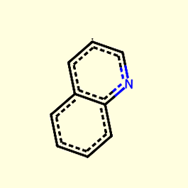 [c]1cnc2ccccc2c1